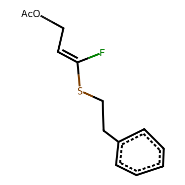 CC(=O)OCC=C(F)SCCc1ccccc1